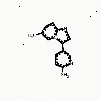 Cc1ccc2ncc(-c3ccc(N)nc3)n2c1